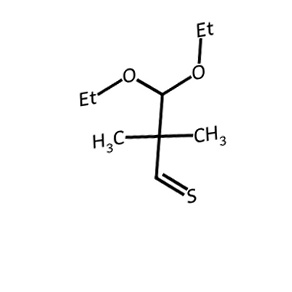 CCOC(OCC)C(C)(C)C=S